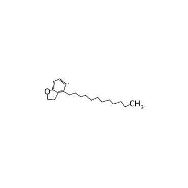 CCCCCCCCCCCCc1[c]ccc2c1CCO2